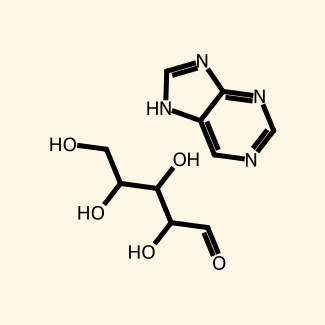 O=CC(O)C(O)C(O)CO.c1ncc2[nH]cnc2n1